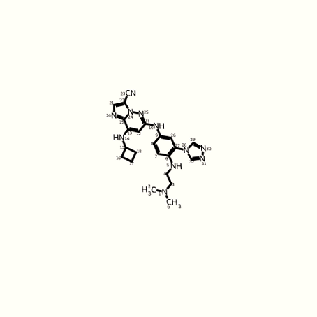 CN(C)CCNc1ccc(Nc2cc(NC3CCC3)c3ncc(C#N)n3n2)cc1-n1cnnc1